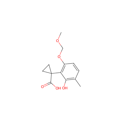 COCOc1ccc(C)c(O)c1C1(C(=O)O)CC1